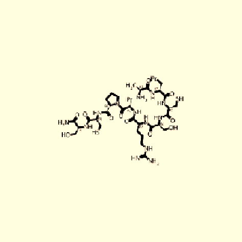 CC(C)C[C@H](NC(=O)[C@H](C)N)C(=O)N[C@@H](CS)C(=O)N[C@@H](CO)C(=O)N[C@@H](CCCNC(=N)N)C(=O)N[C@H](C(=O)N1CCC[C@H]1C(=O)N[C@@H](CS)C(=O)N[C@@H](CO)C(N)=O)C(C)C